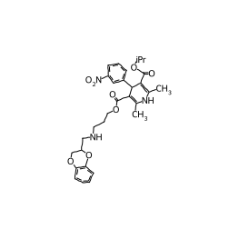 CC1=C(C(=O)OCCCNCC2COc3ccccc3O2)C(c2cccc([N+](=O)[O-])c2)C(C(=O)OC(C)C)=C(C)N1